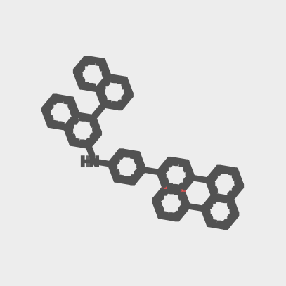 c1ccc(-c2cccc3cccc(-c4ccc(-c5ccc(Nc6cc(-c7cccc8ccccc78)c7ccccc7c6)cc5)cc4)c23)cc1